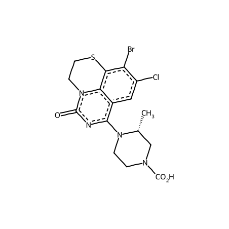 C[C@@H]1CN(C(=O)O)CCN1c1nc(=O)n2c3c(c(Br)c(Cl)cc13)SCC2